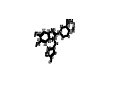 Cc1cc(Cn2c(N3CC[C@@H](F)[C@H](N)C3)nc3cc(F)c(F)cc32)no1